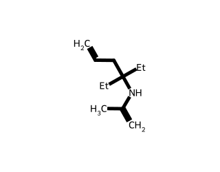 C=CCC(CC)(CC)NC(=C)C